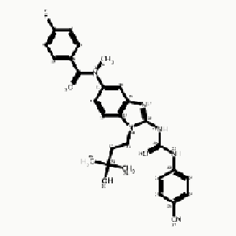 CN(C(=O)c1ccc(F)cc1)c1ccc2c(c1)nc(NC(=O)Nc1ccc(C#N)cc1)n2CCC(C)(C)O